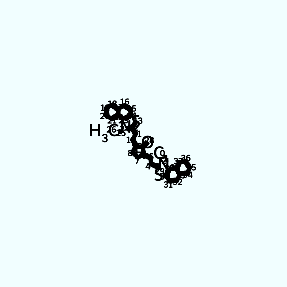 CCN1C(=CC=C2CCC(=CC=C3Sc4ccc5ccccc5c4N3CC)C2=O)Sc2ccc3ccccc3c21